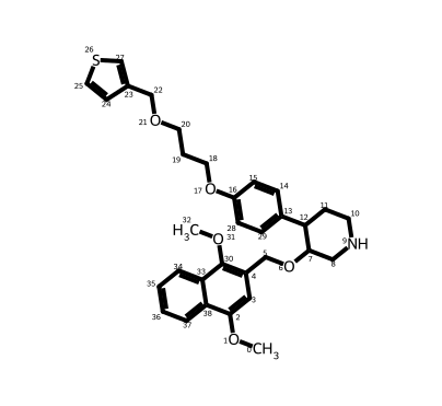 COc1cc(COC2CNCCC2c2ccc(OCCCOCc3ccsc3)cc2)c(OC)c2ccccc12